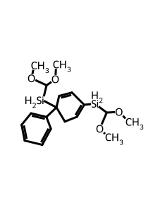 COC(OC)[SiH2]C1=CCC([SiH2]C(OC)OC)(c2ccccc2)C=C1